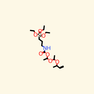 C=CC(C)OC(C)OC(C)OC(=O)NCCC[Si](OCC)(OCC)OCC